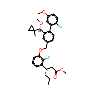 CCC[C@@H](CC(=O)OC)c1cccc(OCc2ccc(-c3cc(OC)ccc3F)c([C@@H](OC)C3(C)CC3)c2)c1F